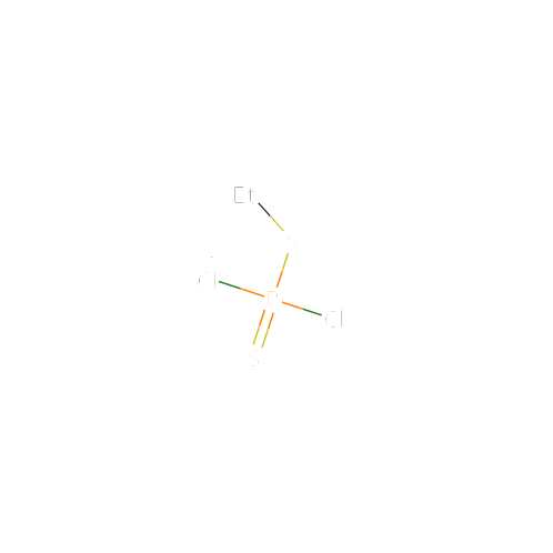 CCSP(=S)(Cl)Cl